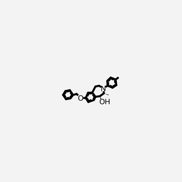 Cc1ccc(N2CCc3cc(OCc4ccccc4)ccc3[C@@H](O)[C@H]2C)cc1